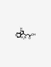 N[C@@H](CC(=O)O)c1c[nH]c2cnccc12